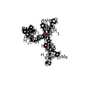 COc1ccc(CC(NC(=O)C(C)NC(=O)CN2CCOCC2)C(=O)NC(CC2=CCCC(C3CCC(CC(NC(=O)C(Cc4ccc(OC)cc4)NC(=O)C(C)NC(=O)CC4CCOCC4)C(=O)C4(CC5CN(CC(=O)NC(C)C(=O)NC(Cc6ccc(OC)c(O)c6)C(=O)NC(CC6CCCC6)C(=O)C6(C)CO6)CCO5)CO4)C3)C2)C(=O)C2(C)CO2)cc1